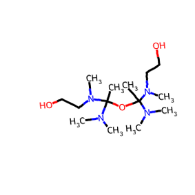 CN(C)C(C)(OC(C)(N(C)C)N(C)CCO)N(C)CCO